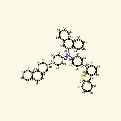 c1ccc2c(c1)ccc1cc(-c3ccc(N(c4ccc(-c5cccc6c5sc5ccccc56)cc4)c4cc5ccccc5c5ccccc45)cc3)ccc12